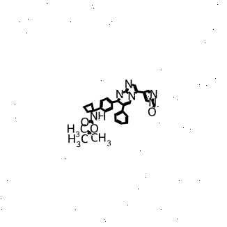 CC(C)(C)OC(=O)NC1(c2ccc(-c3nc4ncc(-c5cnn([C]=O)c5)n4cc3-c3ccccc3)cc2)CCC1